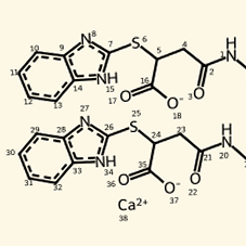 CNC(=O)CC(Sc1nc2ccccc2[nH]1)C(=O)[O-].CNC(=O)CC(Sc1nc2ccccc2[nH]1)C(=O)[O-].[Ca+2]